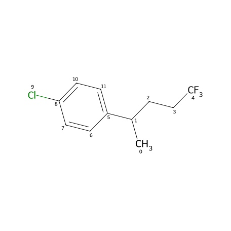 CC(CCC(F)(F)F)c1ccc(Cl)cc1